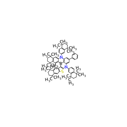 CC1(C)CCC(C)(C)c2cc(N3c4cc5c(cc4B4c6c3cc(-c3ccccc3)cc6N(c3ccc6c(c3)C(C)(C)CCC6(C)C)c3sc6cc7c(cc6c34)C(C)(C)CCC7(C)C)C(C)(C)CCC5(C)C)ccc21